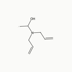 [CH2]C(O)N(CC=C)CC=C